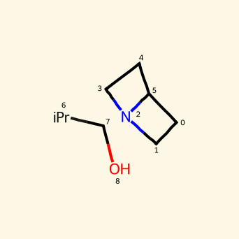 C1CN2CCC12.CC(C)CO